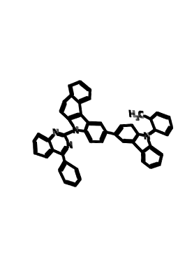 CC1C=CC=CC1N1c2ccccc2C2=CC(c3ccc4c(c3)c3c5ccccc5ccc3n4-c3nc(-c4ccccc4)c4ccccc4n3)=CCC21